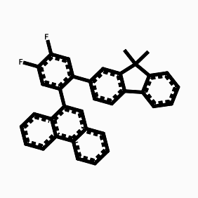 CC1(C)c2ccccc2-c2ccc(-c3cc(F)c(F)cc3-c3cc4ccccc4c4ccccc34)cc21